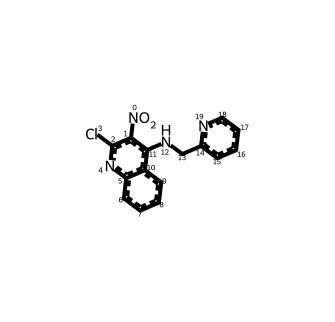 O=[N+]([O-])c1c(Cl)nc2ccccc2c1NCc1ccccn1